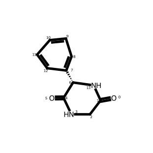 O=C1CNC(=O)[C@H](c2ccccc2)N1